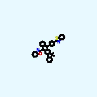 CC1(C)C2=C(CCC=C2)c2cc3c(-c4nc5ccccc5o4)c4ccccc4c(-c4ccc(-c5nc6ccccc6s5)cc4)c3cc21